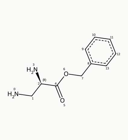 NC[C@@H](N)C(=O)OCc1ccccc1